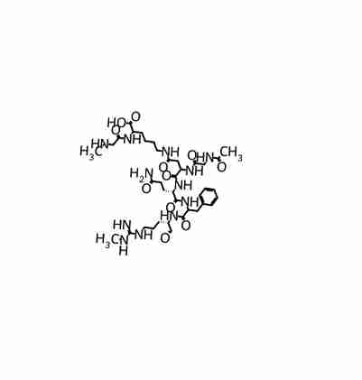 CNCC(=O)NC(CCCCNC(=O)CC(NC(=O)CNC(C)=O)C(=O)N[C@@H](CCC(N)=O)C(=O)NC(Cc1ccccc1)C(=O)N[C@H](C=O)CCCNC(=N)NC)C(=O)O